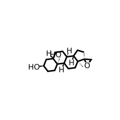 C[C@]12CC[C@H]3[C@@H](CC[C@H]4C[C@H](O)CC[C@@]43CO)[C@@H]1CC[C@@]21CO1